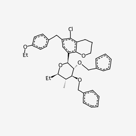 CCOc1ccc(Cc2cc([C@@H]3O[C@H](CC)[C@@H](C)[C@H](OCc4ccccc4)[C@H]3OCc3ccccc3)c3c(c2Cl)CCCO3)cc1